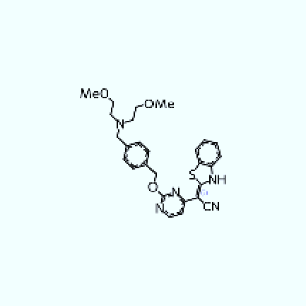 COCCN(CCOC)Cc1ccc(COc2nccc(/C(C#N)=C3/Nc4ccccc4S3)n2)cc1